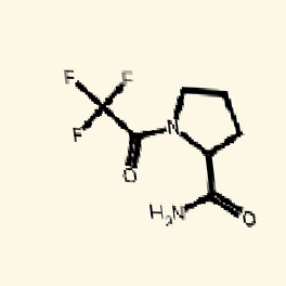 NC(=O)C1CCCN1C(=O)C(F)(F)F